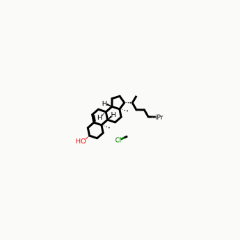 CC(C)CCCC(C)[C@H]1CC[C@H]2[C@@H]3CC=C4C[C@@H](O)CC[C@]4(C)[C@H]3CC[C@]12C.CCl